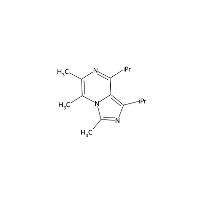 Cc1nc(C(C)C)c2c(C(C)C)nc(C)n2c1C